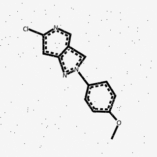 COc1ccc(-n2cc3cnc(Cl)cc3n2)cc1